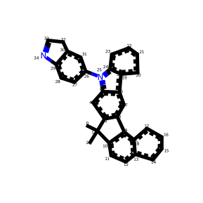 CC1(C)c2cc3c(cc2-c2c1ccc1ccccc21)c1ccccc1n3-c1ccc2c(c1)CC=N2